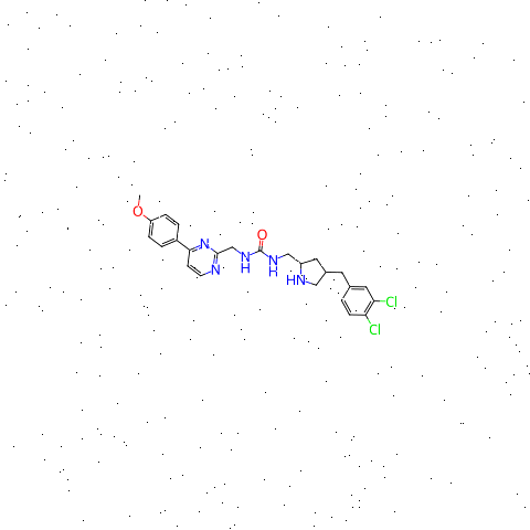 COc1ccc(-c2ccnc(CNC(=O)NCC3CC(Cc4ccc(Cl)c(Cl)c4)CN3)n2)cc1